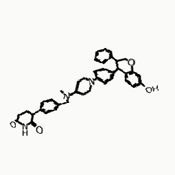 CN(Cc1ccc(C2CCC(=O)NC2=O)cc1)C1CCN(c2ccc(C3c4ccc(O)cc4OCC3c3ccccc3)cc2)CC1